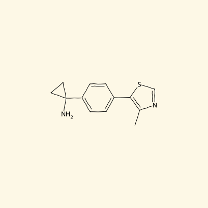 Cc1ncsc1-c1ccc(C2(N)CC2)cc1